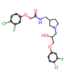 O=C(COc1ccc(Cl)c(F)c1)NCC1CCN(CC(O)COc2ccc(Cl)c(F)c2)C1